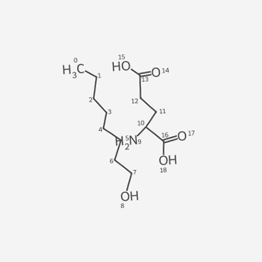 CCCCCCCCO.NC(CCC(=O)O)C(=O)O